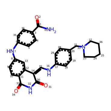 NC(=O)c1ccc(Nc2ccc3c(c2)C(=CNc2ccc(CN4CCCCC4)cc2)C(=O)NC3=O)cc1